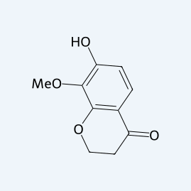 COc1c(O)ccc2c1OCCC2=O